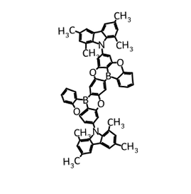 Cc1cc(C)c2c(c1)c1cc(C)cc(C)c1n2-c1cc2c3c(c1)Oc1cc4c(cc1B3c1ccccc1O2)Oc1cc(-n2c3c(C)cc(C)cc3c3cc(C)cc(C)c32)cc2c1B4c1ccccc1O2